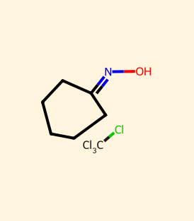 ClC(Cl)(Cl)Cl.ON=C1CCCCC1